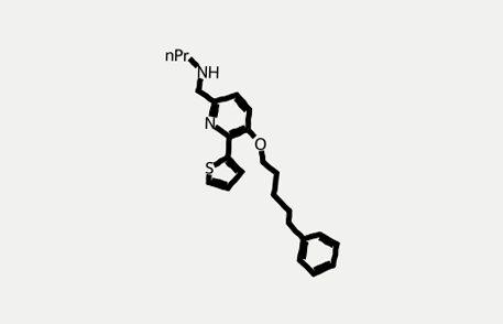 [CH2]CCNCc1ccc(OCCCCCc2ccccc2)c(-c2cccs2)n1